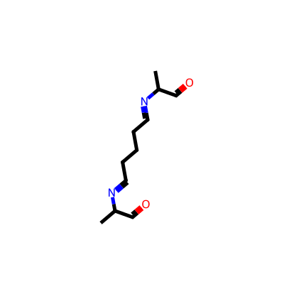 CC(C=O)N=CCCCC=NC(C)C=O